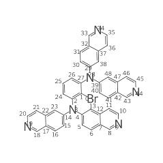 Brc1c(N(c2ccc3cnccc3c2)c2ccc3cnccc3c2)cccc1N(c1ccc2cnccc2c1)c1ccc2cnccc2c1